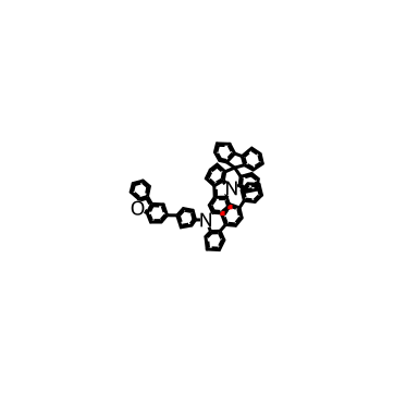 c1ccc(-c2ccc(-c3ccccc3N(c3ccc(-c4ccc5oc6ccccc6c5c4)cc3)c3ccc4c(c3)c3cccc5c3n4-c3ccccc3C53c4ccccc4-c4ccccc43)cc2)cc1